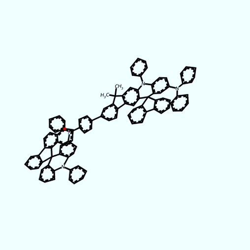 CC1(C)c2cc(-c3ccc(N(c4ccccc4)c4ccc5c(c4)C4(c6ccccc6-c6ccc7ccccc7c64)c4ccccc4N5c4ccccc4)cc3)ccc2-c2cc3c(cc21)N(c1ccccc1)c1ccc(N(c2ccccc2)c2ccccc2)cc1C31c2ccccc2-c2ccccc21